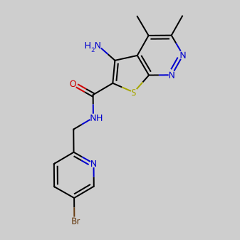 Cc1nnc2sc(C(=O)NCc3ccc(Br)cn3)c(N)c2c1C